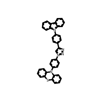 c1ccc2c(c1)Sc1ccccc1N2c1ccc(-n2cc(-c3ccc(-n4c5ccccc5c5ccccc54)cc3)nn2)cc1